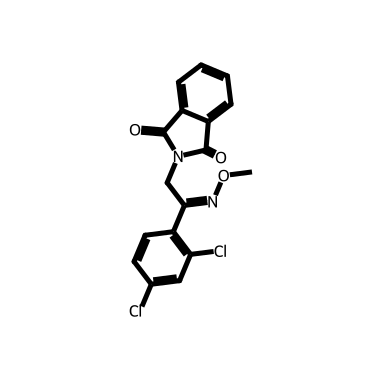 CO/N=C(\CN1C(=O)c2ccccc2C1=O)c1ccc(Cl)cc1Cl